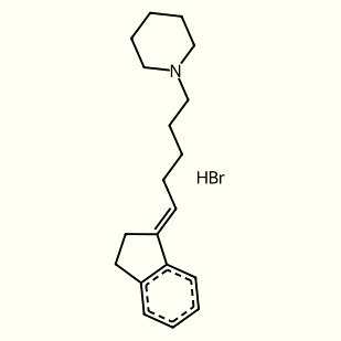 Br.C(CCCCN1CCCCC1)=C1CCc2ccccc21